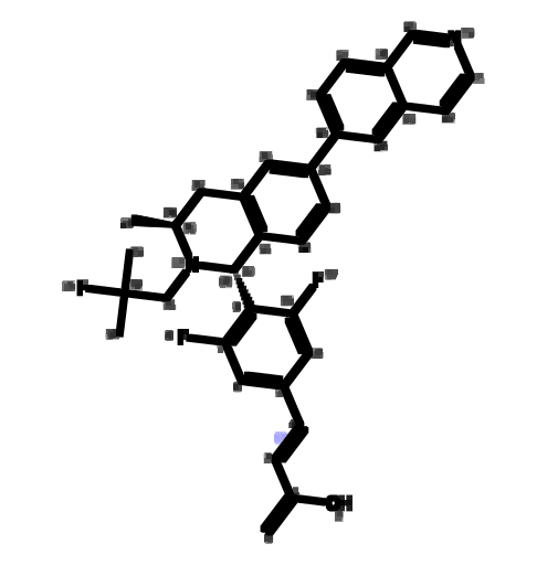 C=C(O)/C=C/c1cc(F)c([C@H]2c3ccc(-c4ccc5cnccc5c4)cc3C[C@H](C)N2CC(C)(C)F)c(F)c1